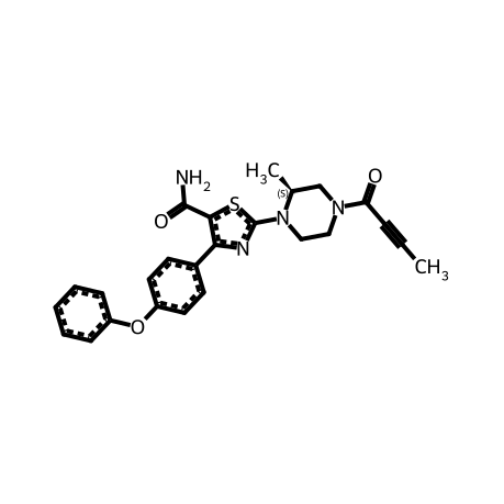 CC#CC(=O)N1CCN(c2nc(-c3ccc(Oc4ccccc4)cc3)c(C(N)=O)s2)[C@@H](C)C1